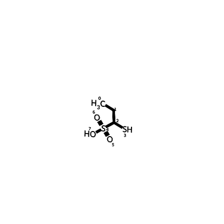 CCC(S)S(=O)(=O)O